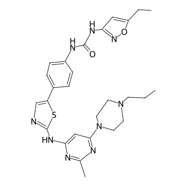 CCCN1CCN(c2cc(Nc3ncc(-c4ccc(NC(=O)Nc5cc(CC)on5)cc4)s3)nc(C)n2)CC1